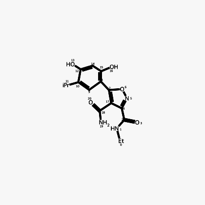 CCNC(=O)c1noc(-c2cc(C(C)C)c(O)cc2O)c1C(N)=O